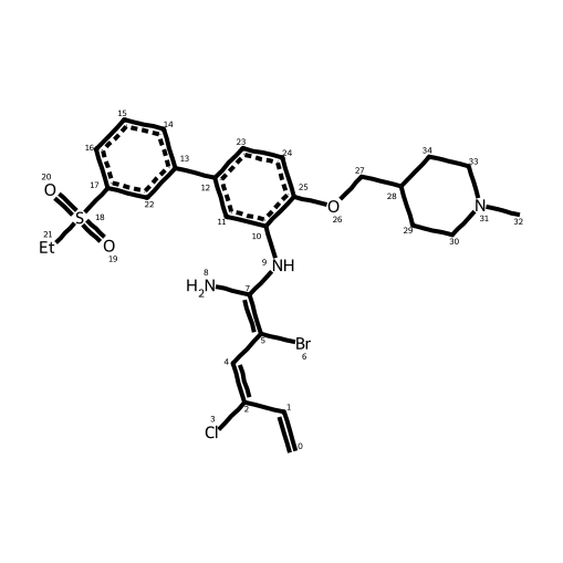 C=C/C(Cl)=C\C(Br)=C(/N)Nc1cc(-c2cccc(S(=O)(=O)CC)c2)ccc1OCC1CCN(C)CC1